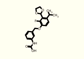 CC(C)c1ccc(OCc2cccc(NC(=O)O)c2)c(F)c1C1OCCO1